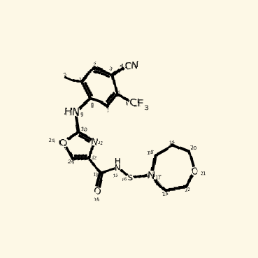 Cc1cc(C#N)c(C(F)(F)F)cc1Nc1nc(C(=O)NSN2CCCOCC2)co1